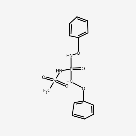 O=P(NOc1ccccc1)(NOc1ccccc1)NS(=O)(=O)C(F)(F)F